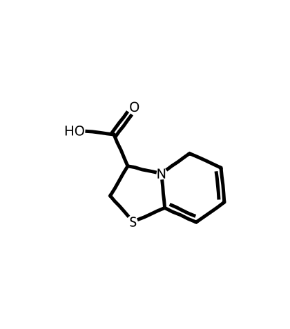 O=C(O)C1CSC2=CC=CCN21